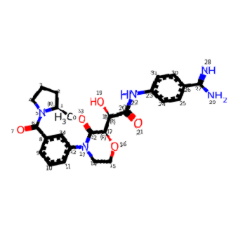 C[C@@H]1CCCN1C(=O)c1cccc(N2CCO[C@H]([C@@H](O)C(=O)Nc3ccc(C(=N)N)cc3)C2=O)c1